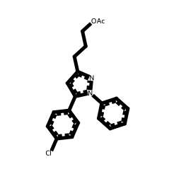 CC(=O)OCCCc1cc(-c2ccc(Cl)cc2)n(-c2ccccc2)n1